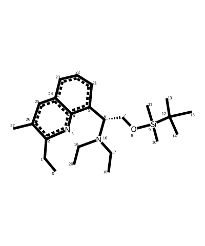 CCc1nc2c([C@H](CO[Si](C)(C)C(C)(C)C)N(CC)CC)cccc2cc1C